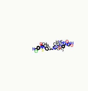 C[C@@H]1CN(CCC[C@H]2CC[C@H](N3C(=S)N(c4ccc(C#N)c(Cl)c4)C(=O)C3(C)C)CC2)C[C@H](C)N1CC(=O)Nc1cccc2c(N3CCC(=O)NC3=O)nn(C)c12